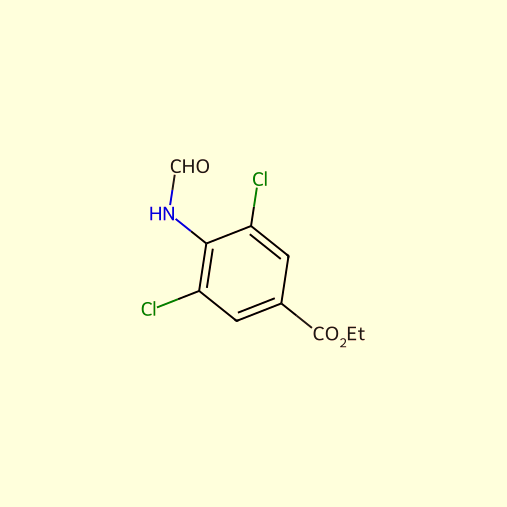 CCOC(=O)c1cc(Cl)c(NC=O)c(Cl)c1